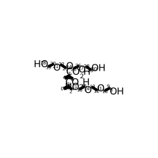 C=C(C)C(=O)O.C=C(C)C(=O)O.OCCOCCOCCO.OCCOCCOCCOCCO